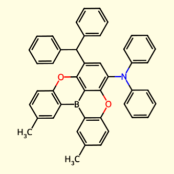 Cc1ccc2c(c1)B1c3cc(C)ccc3Oc3c(N(c4ccccc4)c4ccccc4)cc(C(c4ccccc4)c4ccccc4)c(c31)O2